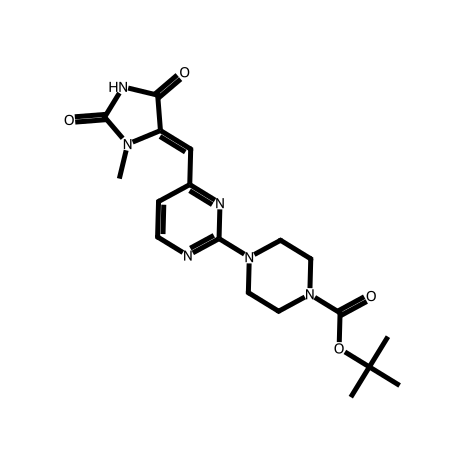 CN1C(=O)NC(=O)/C1=C/c1ccnc(N2CCN(C(=O)OC(C)(C)C)CC2)n1